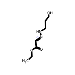 CCOC(=O)/C=N/NCCCO